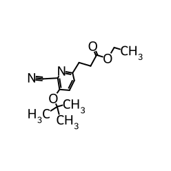 CCOC(=O)CCc1ccc(OC(C)(C)C)c(C#N)n1